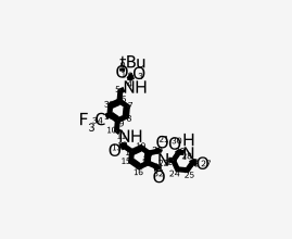 CC(C)(C)OC(=O)NCc1ccc(CNC(=O)c2ccc3c(c2)C(=O)N(C2CCC(=O)NC2=O)C3=O)c(C(F)(F)F)c1